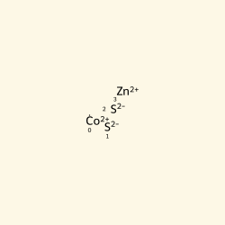 [Co+2].[S-2].[S-2].[Zn+2]